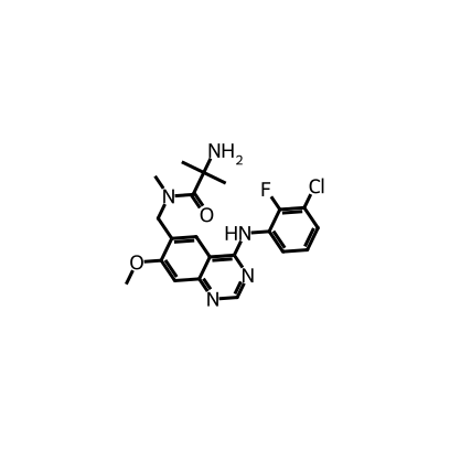 COc1cc2ncnc(Nc3cccc(Cl)c3F)c2cc1CN(C)C(=O)C(C)(C)N